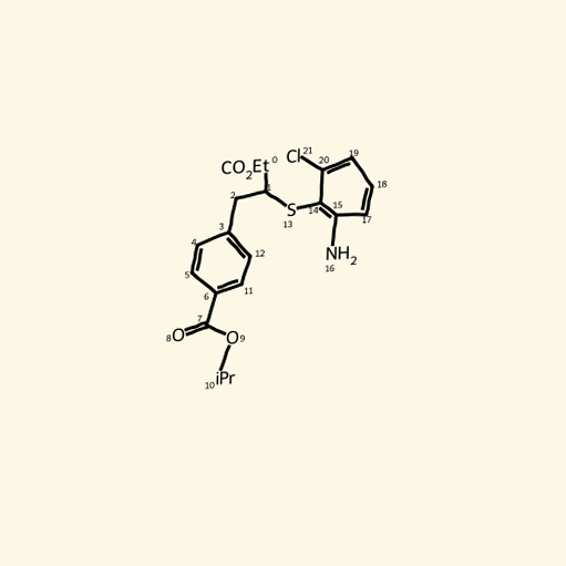 CCOC(=O)C(Cc1ccc(C(=O)OC(C)C)cc1)Sc1c(N)cccc1Cl